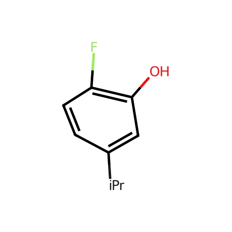 CC(C)c1ccc(F)c(O)c1